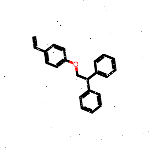 C=Cc1ccc(OCC(c2ccccc2)c2ccccc2)cc1